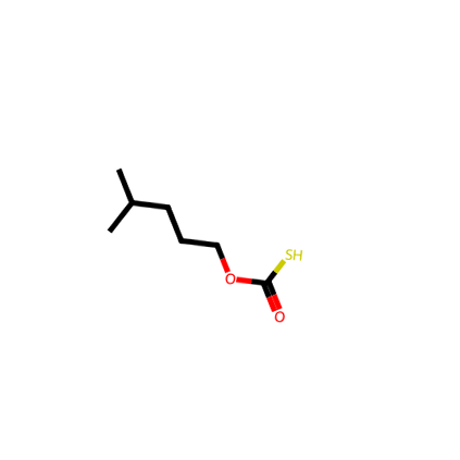 CC(C)CCCOC(=O)S